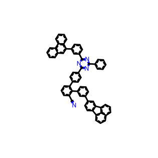 N#Cc1cccc(-c2ccc(-c3nc(-c4ccccc4)nc(-c4cccc(-c5cc6ccccc6c6ccccc56)c4)n3)cc2)c1-c1cccc(-c2ccc3c(c2)-c2cccc4cccc-3c24)c1